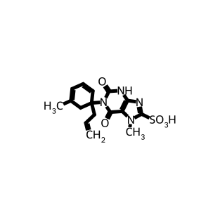 C=CCC1(n2c(=O)[nH]c3nc(S(=O)(=O)O)n(C)c3c2=O)C=CC=C(C)C1